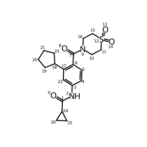 O=C(Nc1ccc(C(=O)N2CCS(=O)(=O)CC2)c(C2CCCC2)c1)C1CC1